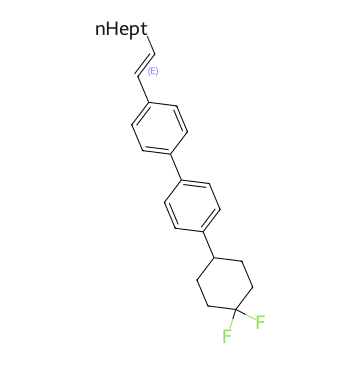 CCCCCCC/C=C/c1ccc(-c2ccc(C3CCC(F)(F)CC3)cc2)cc1